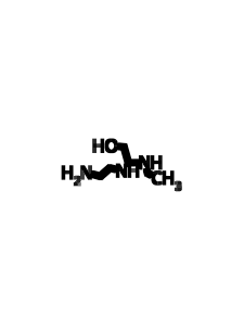 CCNC(CO)NCCN